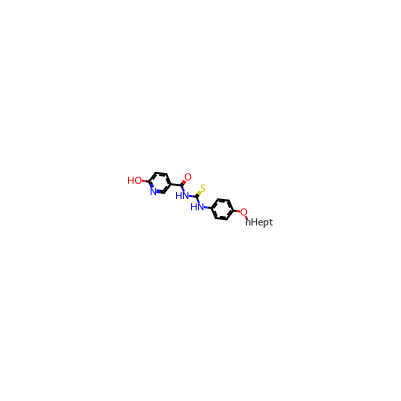 CCCCCCCOc1ccc(NC(=S)NC(=O)c2ccc(O)nc2)cc1